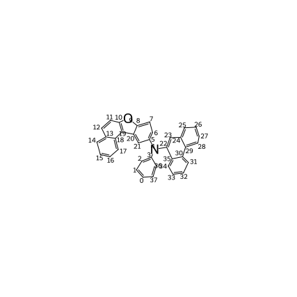 c1ccc(N(c2ccc3oc4ccc5ccccc5c4c3c2)c2cc3ccccc3c3ccccc23)cc1